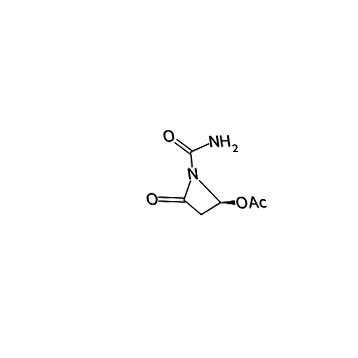 CC(=O)O[C@H]1CC(=O)N1C(N)=O